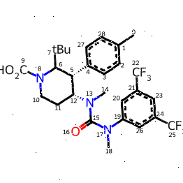 Cc1ccc([C@H]2C(C(C)(C)C)N(C(=O)O)CC[C@H]2N(C)C(=O)N(C)c2cc(C(F)(F)F)cc(C(F)(F)F)c2)cc1